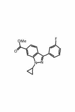 COC(=O)c1ccc2c(-c3cccc(F)c3)nn(C3CC3)c2c1